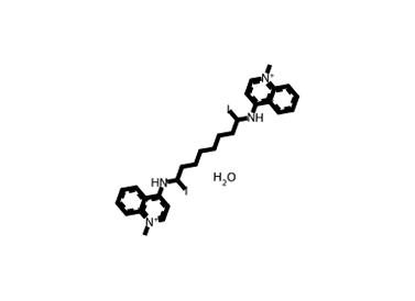 C[n+]1ccc(NC(I)CCCCCCC(I)Nc2cc[n+](C)c3ccccc23)c2ccccc21.O